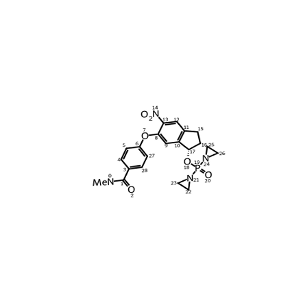 CNC(=O)c1ccc(Oc2cc3c(cc2[N+](=O)[O-])CC[C@@H]3OP(=O)(N2CC2)N2CC2)cc1